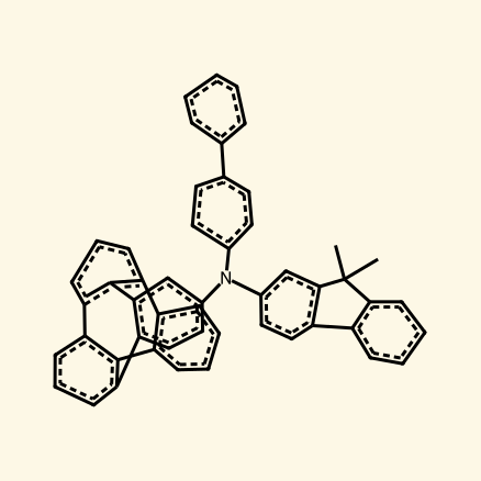 CC1(C)c2ccccc2-c2ccc(N(c3ccc(-c4ccccc4)cc3)c3ccc4c(c3)-c3c5cccc3-c3cccc-4c3-c3ccccc3-5)cc21